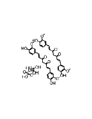 COc1cc(C=CC(=O)CC(=O)C=Cc2ccc(O)c(OC)c2)ccc1O.COc1cc(C=CC(=O)CC(=O)C=Cc2ccc(O)c(OC)c2)ccc1O.O=S(=O)(O)O.OB(O)O